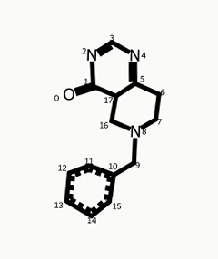 O=C1N=CN=C2CCN(Cc3ccccc3)CC12